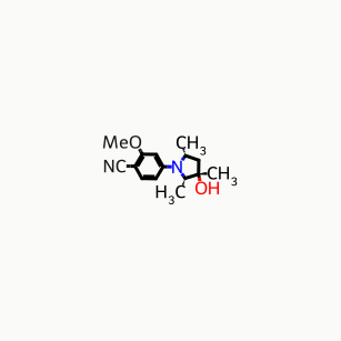 COc1cc(N2[C@H](C)C[C@](C)(O)[C@@H]2C)ccc1C#N